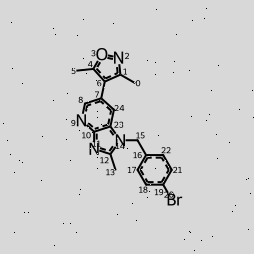 Cc1noc(C)c1-c1cnc2nc(C)n(Cc3ccc(Br)cc3)c2c1